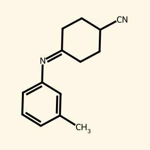 Cc1cccc(N=C2CCC(C#N)CC2)c1